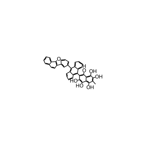 Cc1c(O)c(O)c2c(O)c(-c3c4ccccc4c(-c4ccc5oc6c7ccccc7ccc6c5c4)c4ccccc34)c(O)c(O)c2c1O